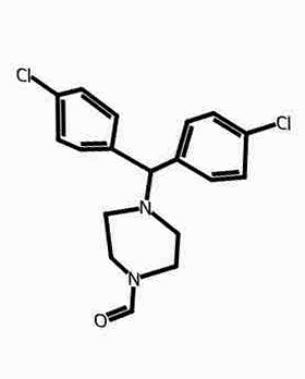 O=CN1CCN(C(c2ccc(Cl)cc2)c2ccc(Cl)cc2)CC1